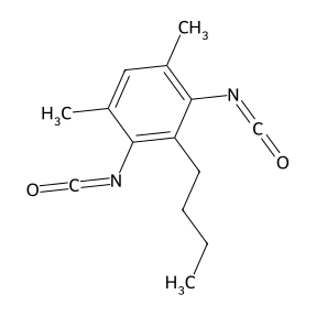 CCCCc1c(N=C=O)c(C)cc(C)c1N=C=O